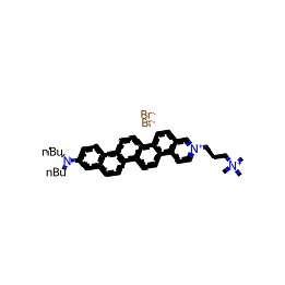 CCCCN(CCCC)c1ccc2c(ccc3c2ccc2c4ccc5c[n+](CCC[N+](C)(C)C)ccc5c4ccc32)c1.[Br-].[Br-]